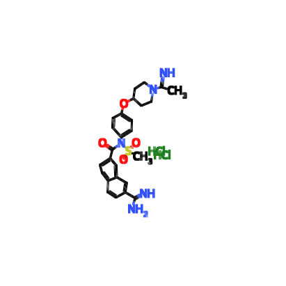 CC(=N)N1CCC(Oc2ccc(N(C(=O)c3ccc4ccc(C(=N)N)cc4c3)S(C)(=O)=O)cc2)CC1.Cl.Cl